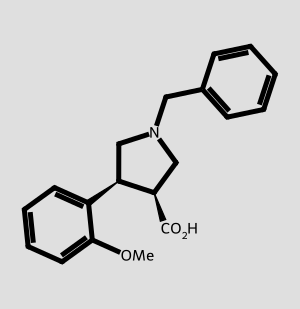 COc1ccccc1[C@H]1CN(Cc2ccccc2)C[C@H]1C(=O)O